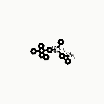 CC1(C)c2ccccc2-c2ccc(CNC(NC(N)c3ccccc3)c3ccc(-c4c5ccccc5c(-c5ccccc5)c5ccc6ccccc6c45)cc3)cc21